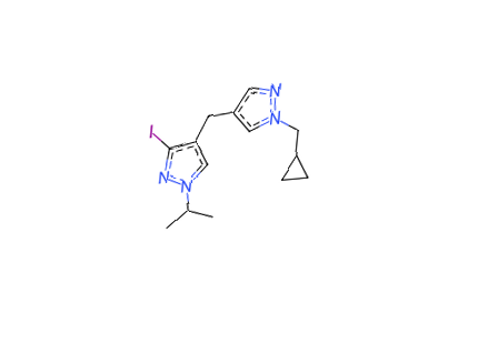 CC(C)n1cc(Cc2cnn(CC3CC3)c2)c(I)n1